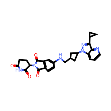 O=C1CCC(N2C(=O)c3ccc(NCC4CC(n5nc(C6CC6)c6ncccc65)C4)cc3C2=O)C(=O)N1